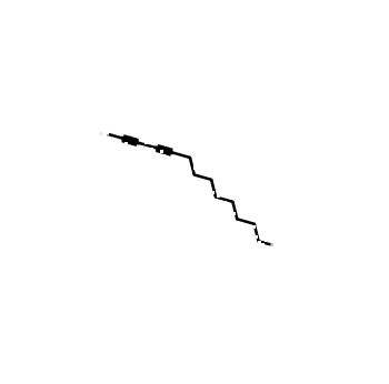 CCCCC#CC#CCCCCCCCCC(=O)O